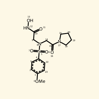 COc1ccc(S(=O)(=O)N(CC(=O)NO)CC(=O)N2CCCC2)cc1